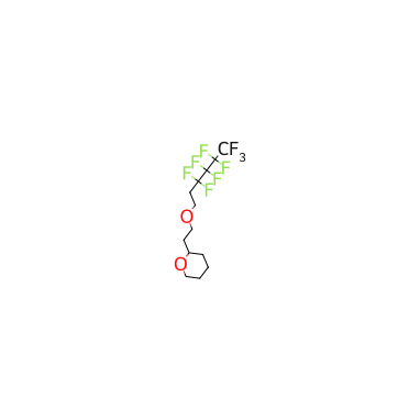 FC(F)(F)C(F)(F)C(F)(F)C(F)(F)CCOCCC1CCCCO1